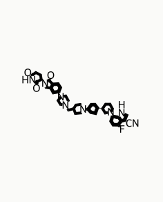 N#Cc1c[nH]c2c(N3CCC[C@@H](c4ccc(N5CCC(CN6CCN(c7ccc8c(c7)CN(C7CCC(=O)NC7=O)C8=O)CC6)CC5)cc4)C3)ccc(F)c12